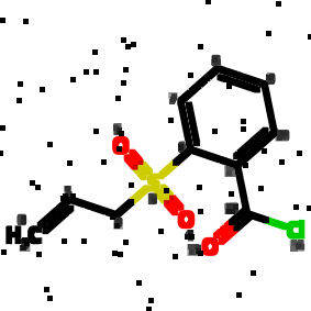 C=CCS(=O)(=O)c1ccccc1C(=O)Cl